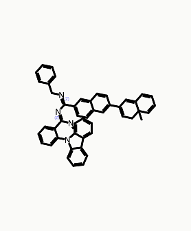 C=N/C(=N\C(=N/Cc1ccccc1)c1ccc2cc(C3=CCC4(C)C=CC=CC4=C3)ccc2c1)c1ccccc1-n1c2ccccc2c2ccccc21